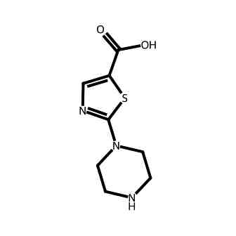 O=C(O)c1cnc(N2CCNCC2)s1